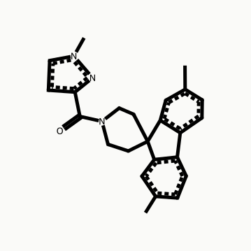 Cc1ccc2c(c1)C1(CCN(C(=O)c3ccn(C)n3)CC1)c1cc(C)ccc1-2